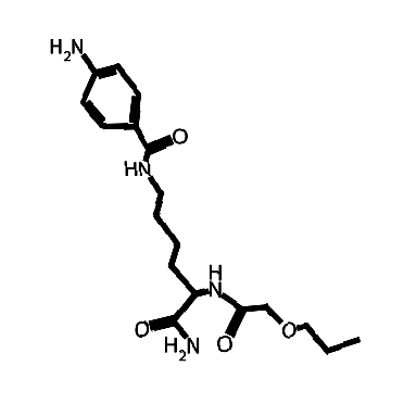 CCCOCC(=O)NC(CCCCNC(=O)c1ccc(N)cc1)C(N)=O